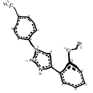 Cc1ccc(-n2cc(-c3ccccc3OC(C)C)nn2)cc1